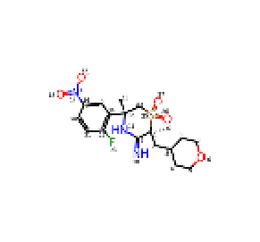 C[C@]1(CC2CCOCC2)C(=N)N[C@](C)(c2cc([N+](=O)[O-])ccc2F)CS1(=O)=O